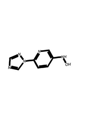 ONc1ccc(-n2cncn2)nc1